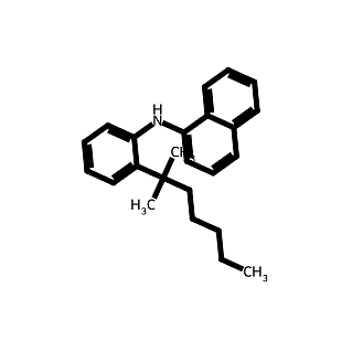 CCCCCC(C)(C)c1ccccc1Nc1cccc2ccccc12